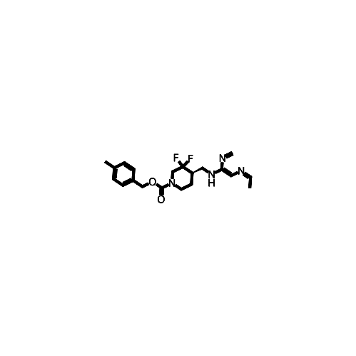 C=N/C(=C\N=C/C)NC[C@H]1CCN(C(=O)OCc2ccc(C)cc2)CC1(F)F